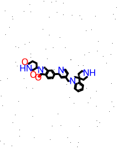 O=C1CCC(N2Cc3cc(-c4cc(CN5CC6(CCNCC6)c6ccccc65)ccn4)ccc3C2=O)C(=O)N1